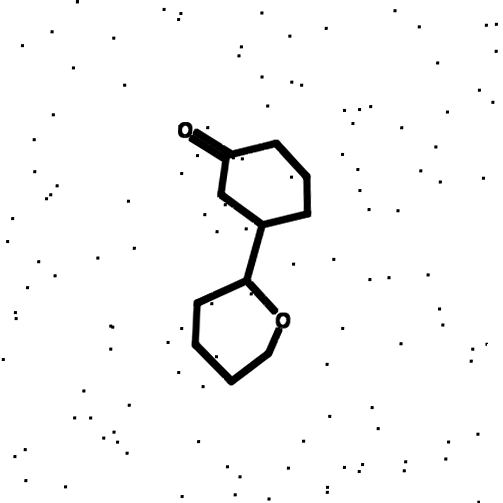 O=C1CCCC(C2CCCCO2)C1